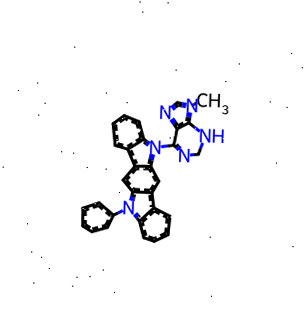 Cn1cnc2c1NCN=C2n1c2ccccc2c2cc3c(cc21)c1ccccc1n3-c1ccccc1